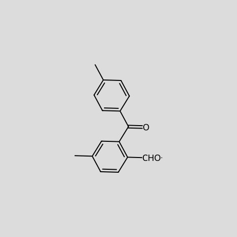 Cc1ccc(C(=O)c2cc(C)ccc2[C]=O)cc1